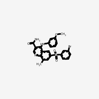 COc1cccc(Nc2c(C(N)=O)cnc3c(C)cc(S(=O)(=O)c4cccc(Br)c4)cc23)c1